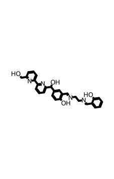 OCc1cccc(-c2cccc(C(O)c3ccc(O)c(/C=N/CC/N=C/c4ccccc4O)c3)n2)n1